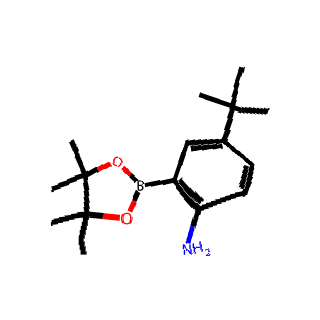 CC(C)(C)c1ccc(N)c(B2OC(C)(C)C(C)(C)O2)c1